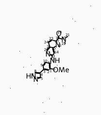 COc1cc(-c2cn[nH]c2)ccc1Nc1cc2nc(C(=O)N(C)C)ccc2cn1